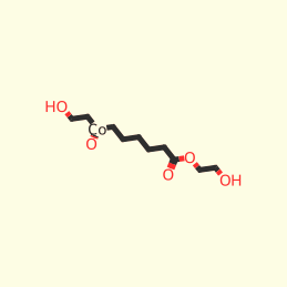 O=C(CCCC[CH2][Co](=[O])[CH2]CO)OCCO